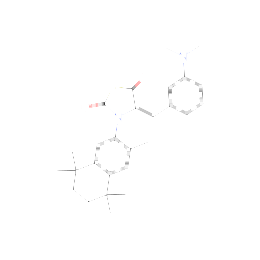 Cc1cc2c(cc1N1C(=O)SC(=O)C1=Cc1cccc(N(C)C)c1)C(C)(C)CCC2(C)C